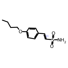 CCCCOc1ccc(/C=C/S(N)(=O)=O)cc1